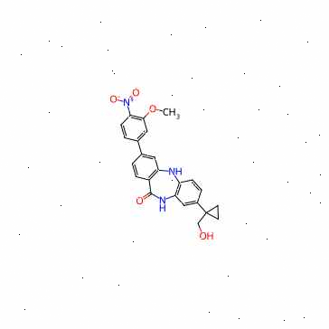 COc1cc(-c2ccc3c(c2)Nc2ccc(C4(CO)CC4)cc2NC3=O)ccc1[N+](=O)[O-]